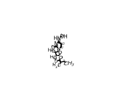 CCC(C)C(=O)O[C@H]1O[C@@H](n2ccc(NO)nc2=O)[C@H](O)[C@@H]1O